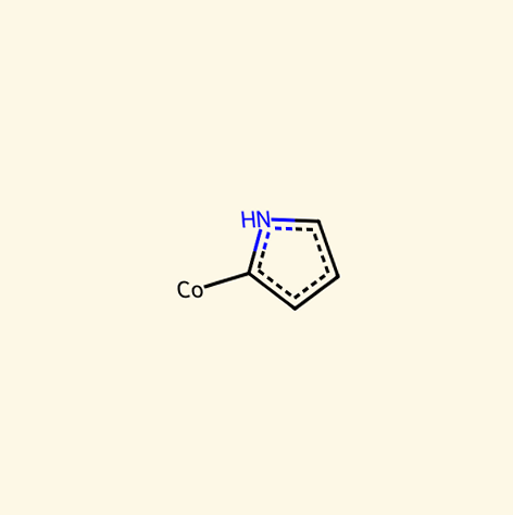 [Co][c]1ccc[nH]1